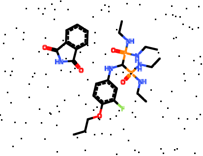 CCCOc1ccc(NC(P(=O)(NCC)NCC)P(=O)(NCC)NCC)cc1F.O=C1NC(=O)c2ccccc21